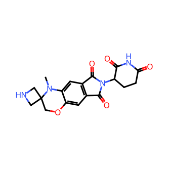 CN1c2cc3c(cc2OCC12CNC2)C(=O)N(C1CCC(=O)NC1=O)C3=O